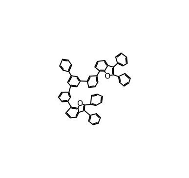 c1ccc(-c2cc(-c3cccc(-c4cccc5c(-c6ccccc6)c(-c6ccccc6)oc45)c3)cc(-c3cccc(-c4cccc5c(-c6ccccc6)c(-c6ccccc6)oc45)c3)c2)cc1